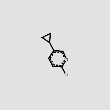 Clc1ccc([C]2CC2)cn1